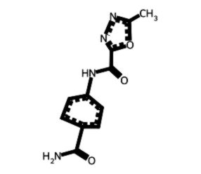 Cc1nnc(C(=O)Nc2ccc(C(N)=O)cc2)o1